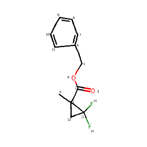 CC1(C(=O)OCc2ccccc2)CC1(F)F